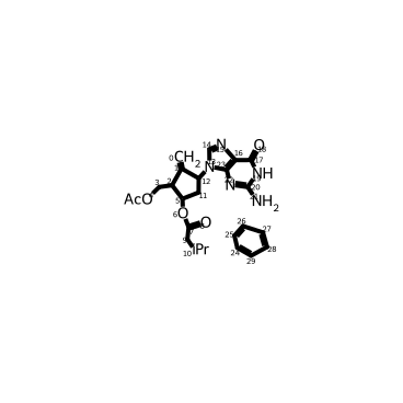 C=C1C(COC(C)=O)C(OC(=O)CC(C)C)CC1n1cnc2c(=O)[nH]c(N)nc21.c1ccccc1